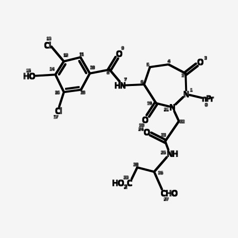 CCCN1C(=O)CCC(NC(=O)c2cc(Cl)c(O)c(Cl)c2)C(=O)N1CC(=O)NC(C=O)CC(=O)O